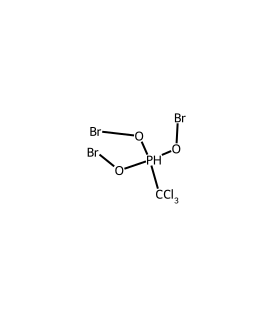 ClC(Cl)(Cl)[PH](OBr)(OBr)OBr